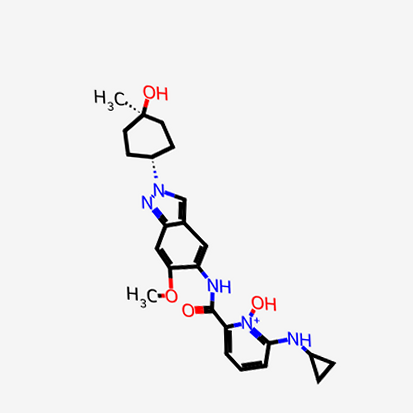 COc1cc2nn([C@H]3CC[C@](C)(O)CC3)cc2cc1NC(=O)c1cccc(NC2CC2)[n+]1O